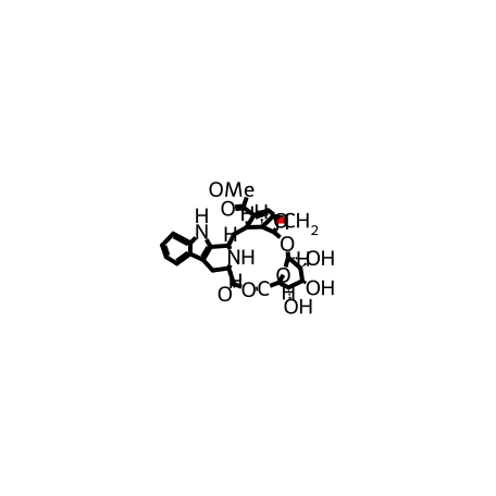 C=C[C@H]1[C@H]2OC=C(C(=O)OC)[C@H]1C[C@@H]1N[C@@H](Cc3c1[nH]c1ccccc31)C(=O)OC[C@H]1O[C@@H](O2)[C@H](O)[C@@H](O)[C@@H]1O